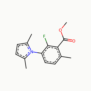 COC(=O)c1c(C)ccc(-n2c(C)ccc2C)c1F